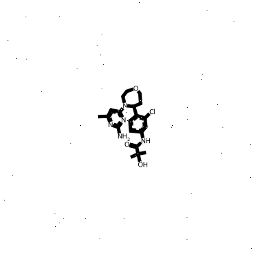 Cc1cc(N2CCOCCC2c2ccc(NC(=O)C(C)(C)O)cc2Cl)nc(N)n1